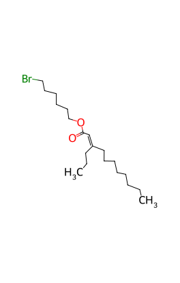 CCCCCCCC/C(=C/C(=O)OCCCCCCBr)CCC